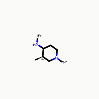 CC(C)NC1CCN(C(C)C)C[C@H]1C